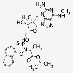 CNc1nc(N)nc2c1ncn2[C@@H]1O[C@H](CO[PH](=S)N(Oc2cccc3ccccc23)[C@H](C)C(=O)OC(C)C)[C@@H](O)[C@@]1(C)F